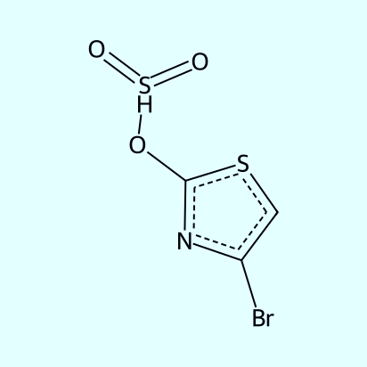 O=[SH](=O)Oc1nc(Br)cs1